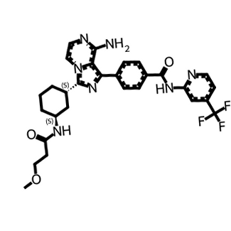 COCCC(=O)N[C@H]1CCC[C@H](c2nc(-c3ccc(C(=O)Nc4cc(C(F)(F)F)ccn4)cc3)c3c(N)nccn23)C1